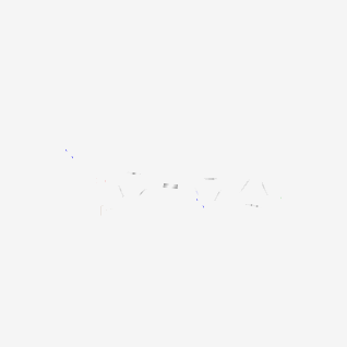 Clc1ccc(-c2ccc(C#Cc3ccc(OCCN4CCCC4)c(Br)c3)nc2)cc1